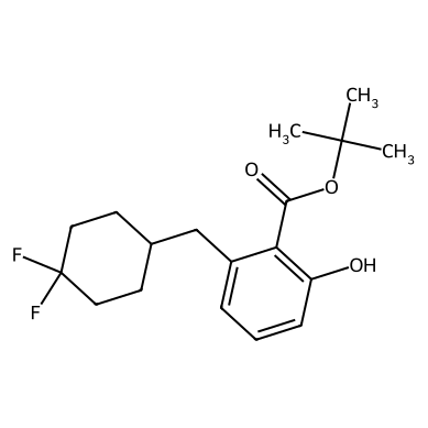 CC(C)(C)OC(=O)c1c(O)cccc1CC1CCC(F)(F)CC1